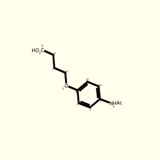 CC(=O)Nc1ccc(OCCCC(=O)O)cc1